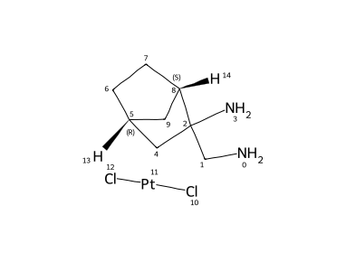 NCC1(N)C[C@@H]2CC[C@H]1C2.[Cl][Pt][Cl]